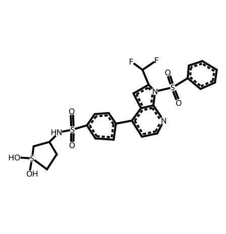 O=S(=O)(NC1CCS(O)(O)C1)c1ccc(-c2ccnc3c2cc(C(F)F)n3S(=O)(=O)c2ccccc2)cc1